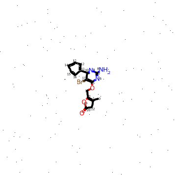 CC1=C(COc2nc(N)nc(-c3ccccc3)c2Br)OC(=O)C1